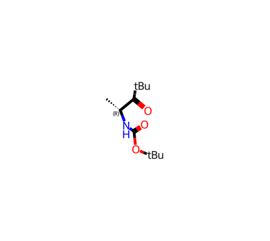 C[C@@H](NC(=O)OC(C)(C)C)C(=O)C(C)(C)C